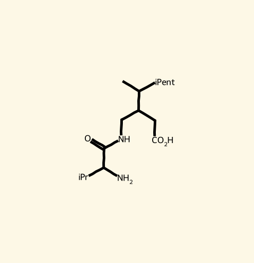 CCCC(C)C(C)C(CNC(=O)C(N)C(C)C)CC(=O)O